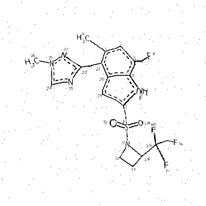 Cc1cc(F)c2[nH]c(S(=O)(=O)N3CCC3C(F)(F)F)cc2c1-c1ncn(C)n1